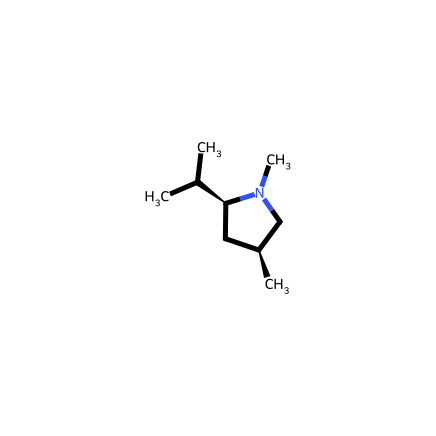 CC(C)[C@@H]1C[C@H](C)CN1C